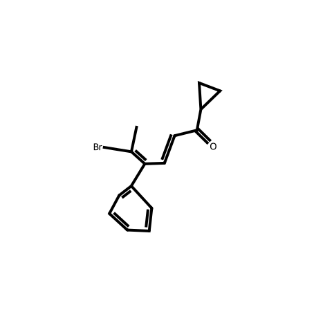 CC(Br)=C(C=CC(=O)C1CC1)c1ccccc1